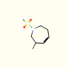 CC(C)(C)C1C=CCCN(S(C)(=O)=O)C1